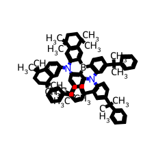 CC(C)(C)c1cc2c3c(c1)N(c1ccc(C(C)(C)c4ccccc4)cc1-c1ccc(-c4ccccc4)cc1)c1cc(C(C)(C)c4ccccc4)ccc1B3c1cc3c(cc1N2c1ccc2c(c1)C(C)(C)CCC2(C)C)C(C)(C)CCC3(C)C